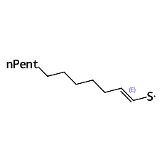 CCCCCCCCCC/C=C/[S]